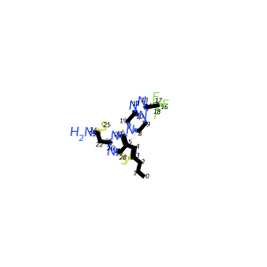 CCCc1cc2c(N3CCn4c(nnc4C(F)(F)F)C3)nc(CC(N)=S)nc2s1